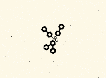 c1ccc(-c2ccc(N3c4cc(-c5ccccc5)c(-c5ccccc5)cc4OP3c3ccc(-c4ccccc4)cc3)cc2)cc1